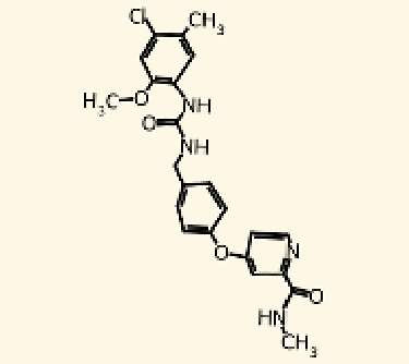 CNC(=O)c1cc(Oc2ccc(CNC(=O)Nc3cc(C)c(Cl)cc3OC)cc2)ccn1